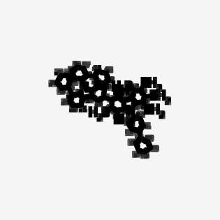 Bc1c(B)c(B)c2c(c1B)c1c(B)c(-c3ccc4c(c3)c3cccc(-c5ccccc5)c3n4-c3ccccc3-c3ccccc3)c(B)c(B)c1n2-c1ccc(-c2ccccc2)cc1